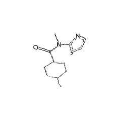 CC1CCC(C(=O)N(C)c2nccs2)CC1